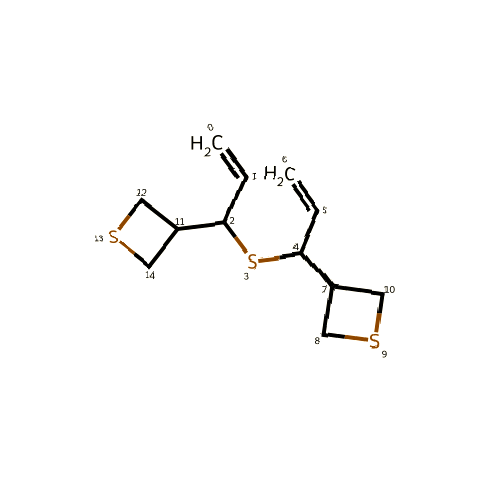 C=CC(SC(C=C)C1CSC1)C1CSC1